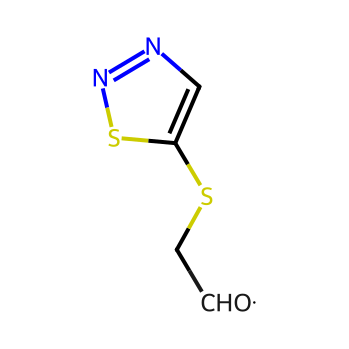 O=[C]CSc1cnns1